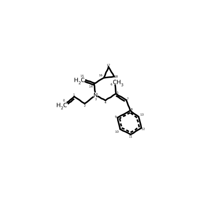 C=CCN(C/C(C)=C\c1ccccc1)C(=C)C1CC1